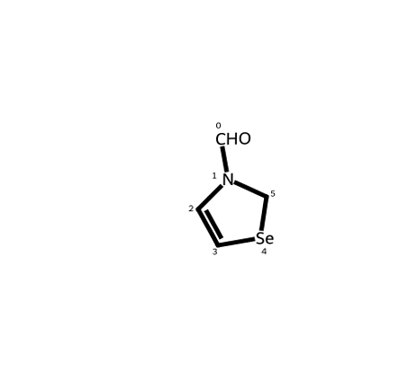 O=CN1C=C[Se]C1